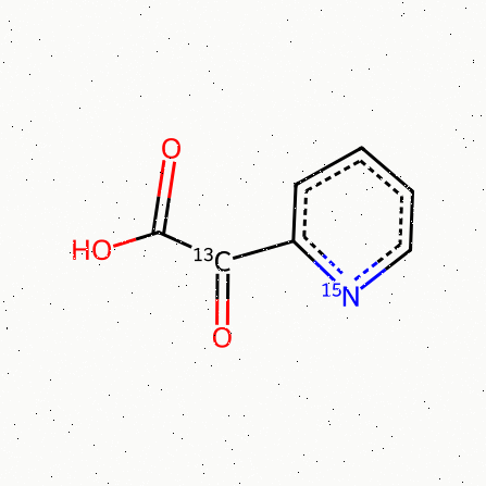 O=C(O)[13C](=O)c1cccc[15n]1